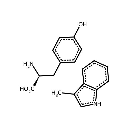 Cc1c[nH]c2ccccc12.N[C@@H](Cc1ccc(O)cc1)C(=O)O